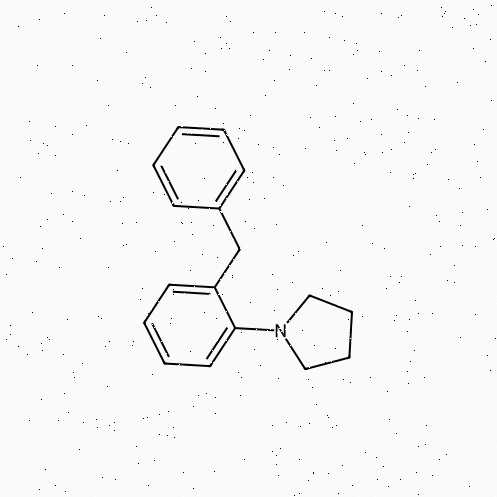 c1ccc(Cc2ccccc2N2CCCC2)cc1